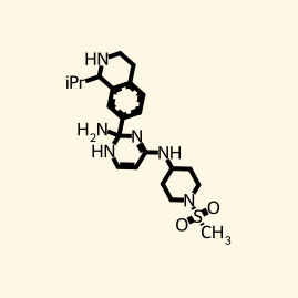 CC(C)C1NCCc2ccc(C3(N)N=C(NC4CCN(S(C)(=O)=O)CC4)C=CN3)cc21